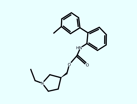 CCN1CC[C@H](COC(=O)Nc2ccccc2-c2cccc(C)c2)C1